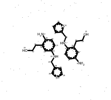 Nc1ccc(NCc2cccs2)c(CCO)c1.Nc1ccc(NCc2ccsc2)cc1CCO